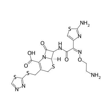 NCCO/N=C(\C(=O)NC1C(=O)N2C(C(=O)O)=C(CSc3nncs3)CS[C@H]12)c1csc(N)n1